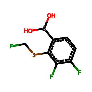 OB(O)c1ccc(F)c(F)c1SCF